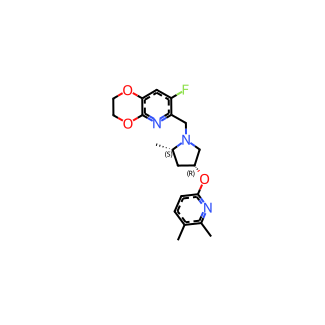 Cc1ccc(O[C@@H]2C[C@H](C)N(Cc3nc4c(cc3F)OCCO4)C2)nc1C